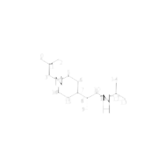 CC(C)CN1CCC([C@@H](C)CNC(C)C)CC1